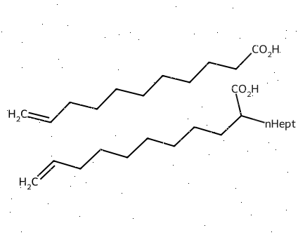 C=CCCCCCCCC(CCCCCCC)C(=O)O.C=CCCCCCCCCC(=O)O